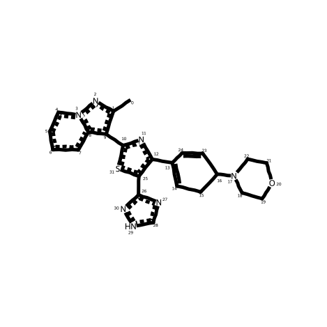 Cc1nn2ccccc2c1-c1nc(C2=CCC(N3CCOCC3)C=C2)c(-c2nc[nH]n2)s1